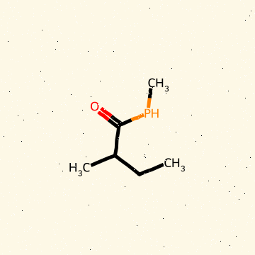 CCC(C)C(=O)PC